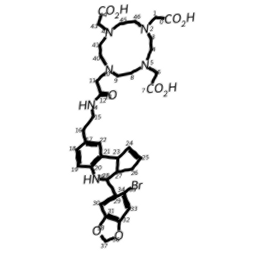 O=C(O)CN1CCN(CC(=O)O)CCN(CC(=O)NCCc2ccc3c(c2)C2C=CCC2C(c2cc4c(cc2Br)OCO4)N3)CCN(CC(=O)O)CC1